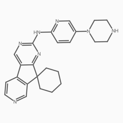 c1cc2c(cn1)C1(CCCCC1)c1nc(Nc3ccc(N4CCNCC4)cn3)ncc1-2